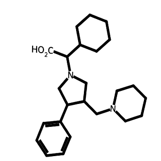 O=C(O)C(C1CCCCC1)N1CC(CN2CCCCC2)C(c2ccccc2)C1